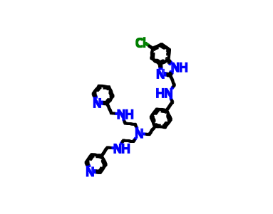 Clc1ccc2[nH]c(CNCc3ccc(CN(CCNCc4ccncc4)CCNCc4ccccn4)cc3)nc2c1